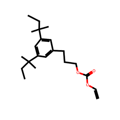 C=COC(=O)OCCCc1cc(C(C)(C)CC)cc(C(C)(C)CC)c1